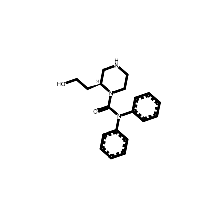 O=C(N(c1ccccc1)c1ccccc1)N1CCNC[C@@H]1CCO